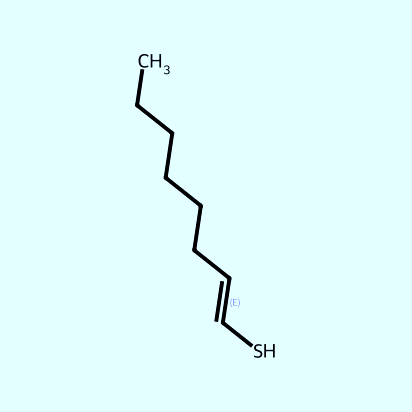 CCCCCC/C=C/S